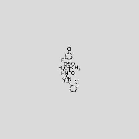 CC(C)(C(=O)Nc1nc(-c2ccccc2Cl)cs1)S(=O)(=O)c1ccc(Cl)cc1F